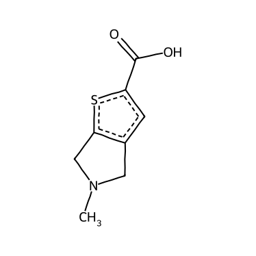 CN1Cc2cc(C(=O)O)sc2C1